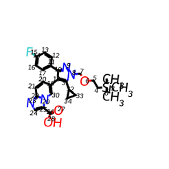 C[Si](C)(C)CCOCn1nc(-c2ccc(F)cc2)c(-c2ccc3ncc(C(=O)O)n3c2)c1C1CC1